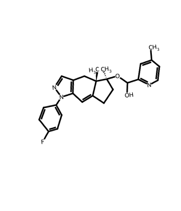 Cc1ccnc(C(O)O[C@@]2(C)CCC3=Cc4c(cnn4-c4ccc(F)cc4)C[C@@]32C)c1